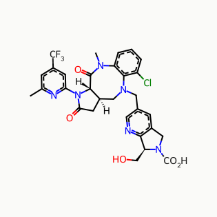 Cc1cc(C(F)(F)F)cc(N2C(=O)C[C@@H]3CN(Cc4cnc5c(c4)CN(C(=O)O)[C@H]5CO)c4c(Cl)cccc4N(C)C(=O)[C@H]32)n1